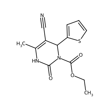 CCOC(=O)N1C(=O)NC(C)=C(C#N)C1c1cccs1